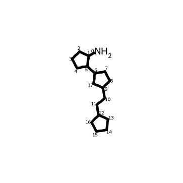 NC1CCCC1C1CCC(CCC2CCCC2)C1